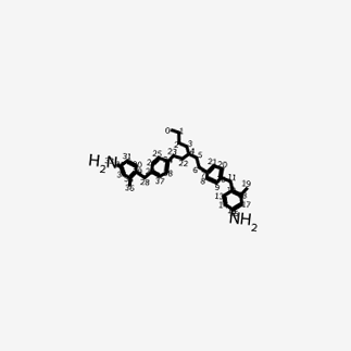 CCCCC(CCc1ccc(Cc2ccc(N)cc2C)cc1)CCc1ccc(Cc2ccc(N)cc2C)cc1